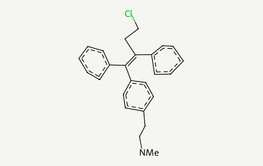 CNCCc1ccc(C(=C(CCCl)c2ccccc2)c2ccccc2)cc1